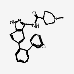 CN1CCC(C(=O)Nc2n[nH]c3ccc(-c4ccccc4-c4ccccc4)cc23)CC1.Cl